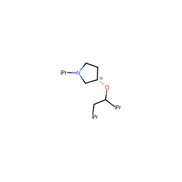 CC(C)CC(O[C@H]1CCN(C(C)C)C1)C(C)C